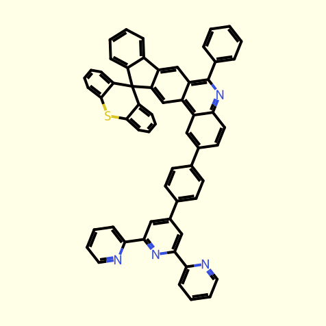 c1ccc(-c2nc3ccc(-c4ccc(-c5cc(-c6ccccn6)nc(-c6ccccn6)c5)cc4)cc3c3cc4c(cc23)-c2ccccc2C42c3ccccc3Sc3ccccc32)cc1